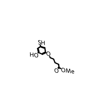 COC(=O)CCCCOc1cc(O)cc(S)c1